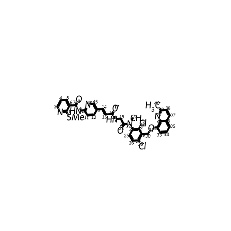 CSc1ncccc1C(=O)Nc1ccc(C=CC(=O)NCC(=O)N(C)c2ccc(Cl)c(COc3cccc4ccc(C)nc34)c2Cl)cn1